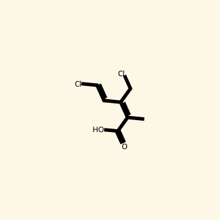 CC(C(=O)O)=C(C=CCl)CCl